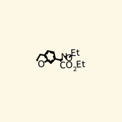 CCON=C(C(=O)OCC)c1ccc2c(c1)OCC2